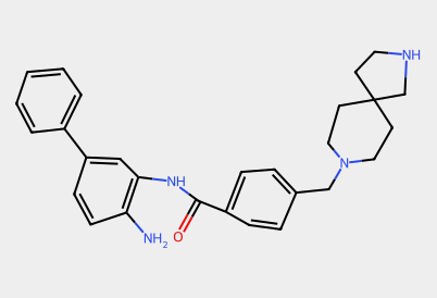 Nc1ccc(-c2ccccc2)cc1NC(=O)c1ccc(CN2CCC3(CCNC3)CC2)cc1